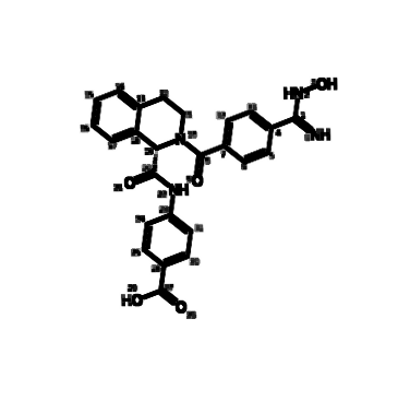 N=C(NO)c1ccc(C(=O)N2CCc3ccccc3[C@H]2C(=O)Nc2ccc(C(=O)O)cc2)cc1